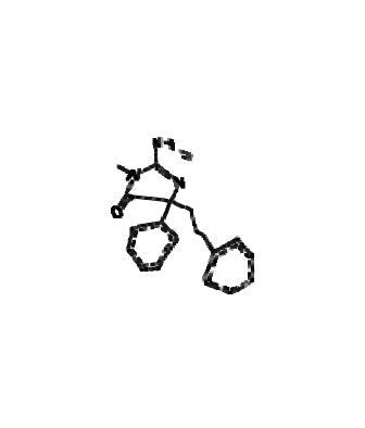 CN1C(=O)C(CCc2ccccc2)(c2ccccc2)N=C1N